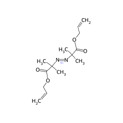 C=CCOC(=O)C(C)(C)/N=N/C(C)(C)C(=O)OCC=C